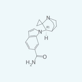 NC(=O)c1ccc2ccn([C@@H]3C4CCN(CC4)C34CC4)c2c1